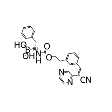 N#CC(=Cc1cccc(CCOC(=O)N[C@@H](Cc2ccccc2)B(O)O)c1)c1cnccn1